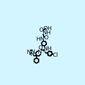 O=C(O)NCC(=O)NC1CCC(N[C@H](Cc2ccc(Cl)cc2)C(=O)N2CCC(Cn3cncn3)(C3CCCCC3)CC2)CC1